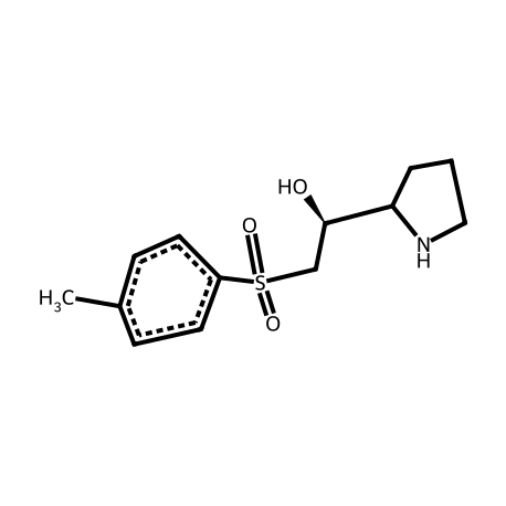 Cc1ccc(S(=O)(=O)C[C@@H](O)C2CCCN2)cc1